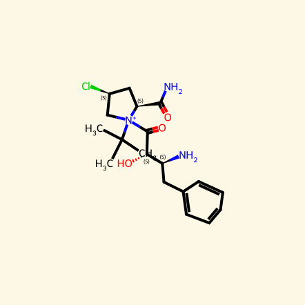 CC(C)(C)[N+]1(C(=O)[C@@H](O)[C@@H](N)Cc2ccccc2)C[C@@H](Cl)C[C@H]1C(N)=O